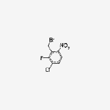 O=[N+]([O-])c1ccc(Cl)c(F)c1CBr